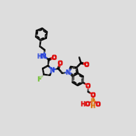 CC(=O)c1cn(CC(=O)N2C[C@H](F)C[C@H]2C(=O)NCCc2ccccc2)c2ccc(OCO[PH](=O)O)cc12